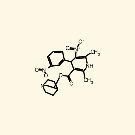 CC1=C(C(=O)OC2CN3CCC2CC3)C(c2cccc([N+](=O)[O-])c2)C([N+](=O)[O-])=C(C)N1